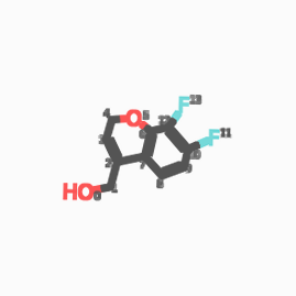 OCC1=CCOc2c1ccc(F)c2F